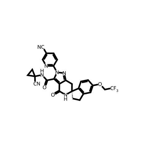 N#Cc1ccc(-n2nc3c(c2C(=O)NC2(C#N)CC2)C(=O)N[C@@]2(CCc4cc(OCC(F)(F)F)ccc42)C3)nc1